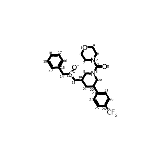 O=C(N1CCOCC1)N1CC(C[S+]([O-])Cc2ccccc2)CC(c2ccc(C(F)(F)F)cc2)C1